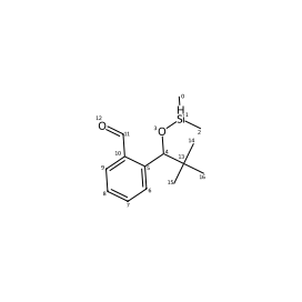 C[SiH](C)OC(c1ccccc1C=O)C(C)(C)C